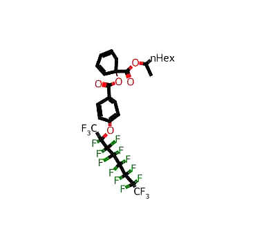 CCCCCCC(C)OC(=O)[C@@]1(OC(=O)c2ccc(OC(F)(C(F)(F)F)C(F)(F)C(F)(F)C(F)(F)C(F)(F)C(F)(F)C(F)(F)F)cc2)C=CC=CC1